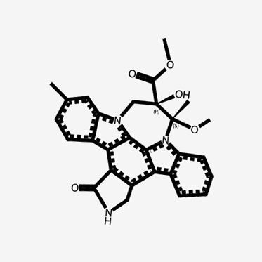 COC(=O)[C@@]1(O)Cn2c3cc(C)ccc3c3c4c(c5c6ccccc6n(c5c32)[C@@]1(C)OC)CNC4=O